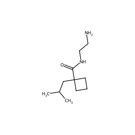 CC(C)CC1(C(=O)NCCN)CCC1